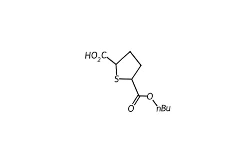 CCCCOC(=O)C1CCC(C(=O)O)S1